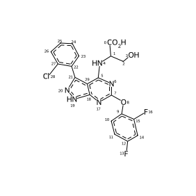 O=C(O)C(CO)Nc1nc(Oc2ccc(F)cc2F)nc2[nH]nc(-c3ccccc3Cl)c12